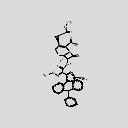 CO/N=C(\C(=O)N[C@@H]1C(=O)N2C(C(=O)O)=C(C3CC3C(=O)OC)CS[C@H]12)c1nc(N)sc1-c1ccccc1C(c1ccccc1)c1ccccc1